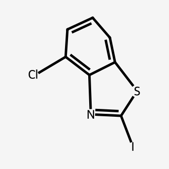 Clc1cccc2sc(I)nc12